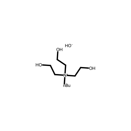 CCCC[N+](CCO)(CCO)CCO.[OH-]